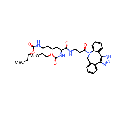 COCCOC(=O)NCCCCC(NC(=O)OCCOC)C(=O)NCCC(=O)N1Cc2ccccc2-c2nn[nH]c2-c2ccccc21